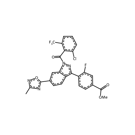 COC(=O)c1ccc(-c2nn(C(=O)c3c(Cl)cccc3C(F)(F)F)c3cc(-c4nc(C)no4)ccc23)c(F)c1